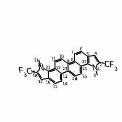 Cn1c(C(F)(F)F)cc2ccc3c4ccc5c(ccc6cc(C(F)(F)F)n(C)c65)c4ccc3c21